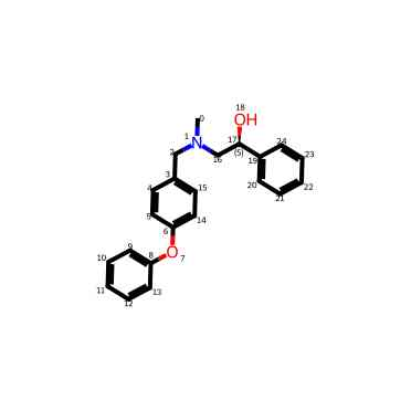 CN(Cc1ccc(Oc2ccccc2)cc1)C[C@@H](O)c1ccccc1